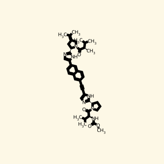 COC(=O)N[C@H](C(=O)N1CCC[C@H]1c1ncc(C#Cc2ccc3cc(-c4cnc([C@@H]5CC(=C(C)C)CN5C(=O)[C@@H](C)C(C)C)[nH]4)ccc3c2)[nH]1)C(C)C